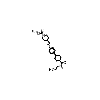 CN(CCO)C(=O)C1CC=C(c2ccc(OCC3CCN(C(=O)OC(C)(C)C)CC3)cc2)CC1